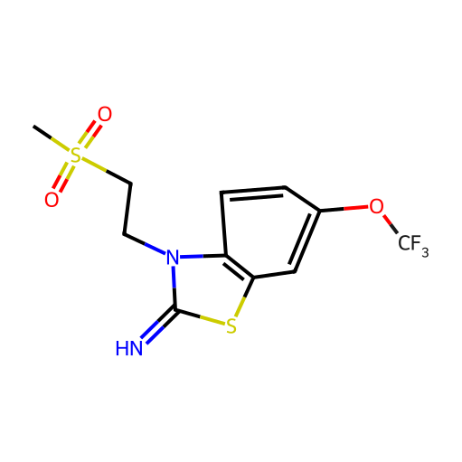 CS(=O)(=O)CCn1c(=N)sc2cc(OC(F)(F)F)ccc21